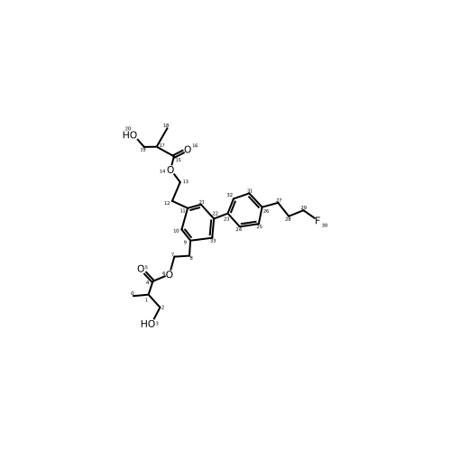 CC(CO)C(=O)OCCc1cc(CCOC(=O)C(C)CO)cc(-c2ccc(CCCF)cc2)c1